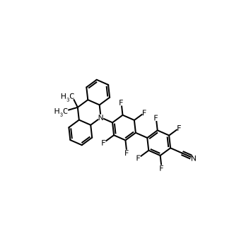 CC1(C)C2C=CC=CC2N(C2=C(F)C(F)=C(c3c(F)c(F)c(C#N)c(F)c3F)C(F)C2F)C2C=CC=CC21